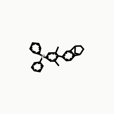 Cc1cc(N(c2ccccc2)c2ccccc2)cc(C)c1-c1ccc2c(c1)C1CCC2C1